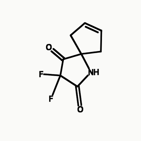 O=C1NC2(CC=CC2)C(=O)C1(F)F